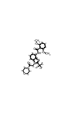 COc1cccc(OC)c1C(=O)Nc1cccc2c1nc(C(F)(F)F)n2CC(=O)N1CCOCC1